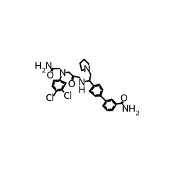 NC(=O)CN(CC(=O)CNC(CN1CCCC1)c1ccc(-c2cccc(C(N)=O)c2)cc1)c1ccc(Cl)c(Cl)c1